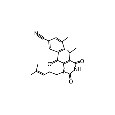 CC(C)=CCCn1c(C(=O)c2cc(C)cc(C#N)c2)c(C(C)C)c(=O)[nH]c1=O